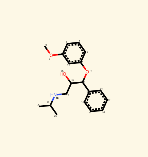 COc1cccc(OC(c2ccccc2)C(O)CNC(C)C)c1